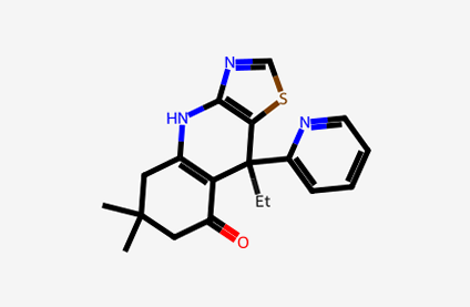 CCC1(c2ccccn2)C2=C(CC(C)(C)CC2=O)Nc2ncsc21